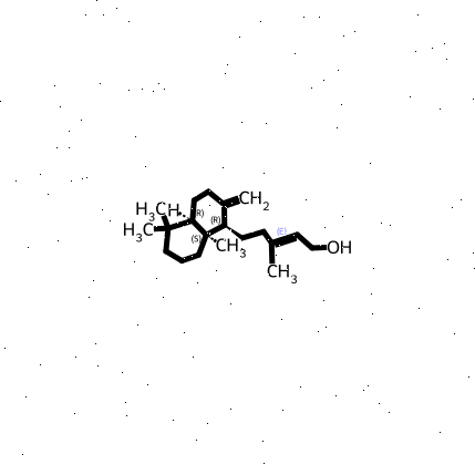 C=C1CC[C@@H]2C(C)(C)CCC[C@]2(C)[C@@H]1CC/C(C)=C/CO